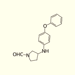 O=CN1CCC(Nc2ccc(Oc3ccccc3)cc2)C1